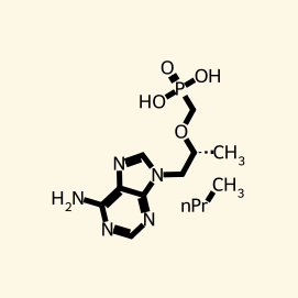 CCCC.C[C@H](Cn1cnc2c(N)ncnc21)OCP(=O)(O)O